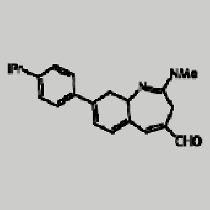 CNC1=NC2CC(c3ccc(C(C)C)cc3)=CC=C2C=C(C=O)C1